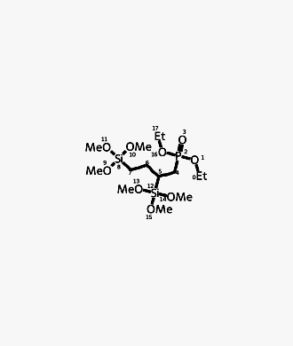 CCOP(=O)(CC(CC[Si](OC)(OC)OC)[Si](OC)(OC)OC)OCC